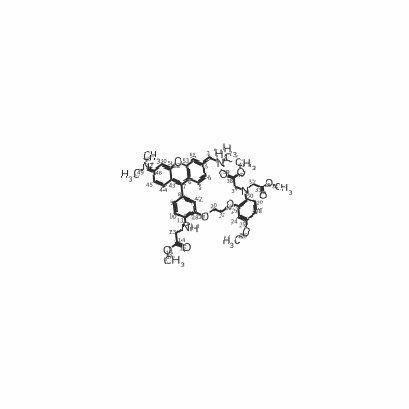 CNCc1ccc2c(-c3ccc(NCC(=O)OC)c(OCCOc4cc(OC)ccc4N(CC(=O)OC)CC(=O)OC)c3)c3ccc(=[N+](C)C)cc-3oc2c1